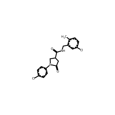 Cc1ccc(Cl)cc1CNC(=O)C1CC(=O)N(c2ccc(Cl)cc2)C1